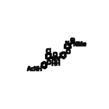 CNC(=O)c1cc(Oc2ccc(NC(=O)Nc3cc(Cl)ccc3Oc3ccc(NC(C)=O)cc3)cc2)ccn1